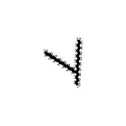 [CH2]CCCCC(CCCCCCCCCCCC)CCCCCCCCCCCCCC